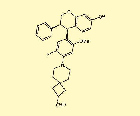 COc1cc(N2CCC3(CC2)CC(C=O)C3)c(F)cc1[C@@H]1c2ccc(O)cc2OC[C@@H]1c1ccccc1